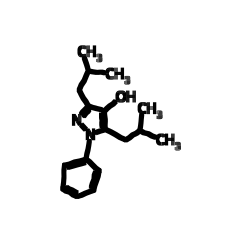 CC(C)Cc1nn(-c2ccccc2)c(CC(C)C)c1O